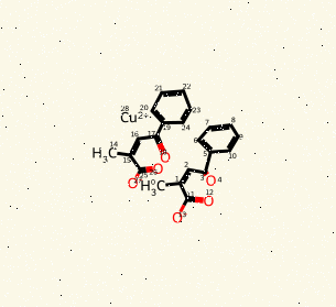 CC(=CC(=O)c1ccccc1)C(=O)[O-].CC(=CC(=O)c1ccccc1)C(=O)[O-].[Cu+2]